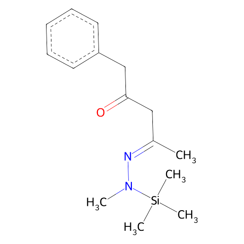 CC(CC(=O)Cc1ccccc1)=NN(C)[Si](C)(C)C